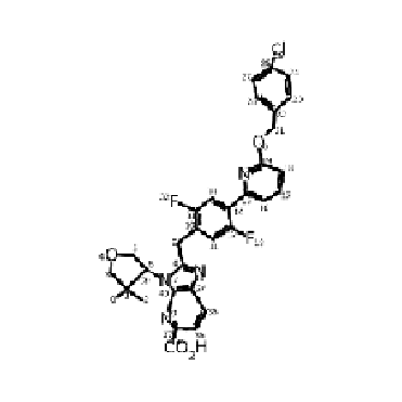 CC1(C)COC[C@H]1n1c(Cc2cc(F)c(-c3cccc(OCc4ccc(Cl)cc4)n3)cc2F)nc2ccc(C(=O)O)nc21